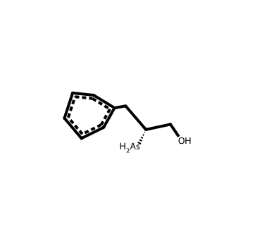 OC[C@H]([AsH2])Cc1ccccc1